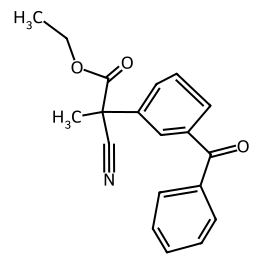 CCOC(=O)C(C)(C#N)c1cccc(C(=O)c2ccccc2)c1